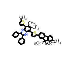 CCCCCCCCC1(CCCCCCCC)c2cc(C)ccc2-c2ccc(-c3ccc(-c4c(C(F)(F)F)c(C)c(-c5ccc(C)s5)c5nc(-c6ccccc6)c(-c6ccccc6)nc45)s3)cc21